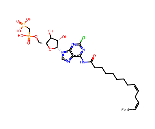 CCCCC/C=C\C/C=C\CCCCCCCC(=O)Nc1nc(Cl)nc2c1ncn2[C@@H]1O[C@H](COP(=O)(O)CP(=O)(O)O)C(O)[C@@H]1O